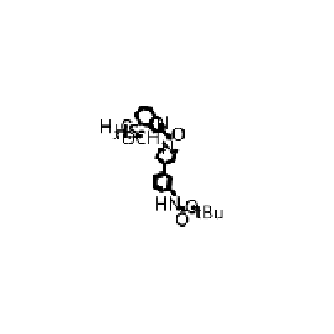 CC(C)(C)OC(=O)NCc1cccc(C2CCN(C(=O)C3=NC4CCCC([SH](C)(C)=O)C4=C3)CC2)c1